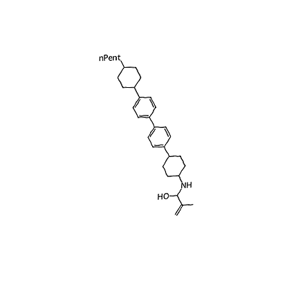 C=C(C)C(O)NC1CCC(c2ccc(-c3ccc(C4CCC(CCCCC)CC4)cc3)cc2)CC1